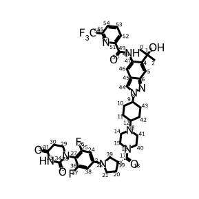 CC(C)(O)c1cc2nn(C3CCC(N4CCN(C(=O)[C@@H]5CCN(c6cc(F)c(N7CCC(=O)NC7=O)c(F)c6)C5)CC4)CC3)cc2cc1NC(=O)c1cccc(C(F)(F)F)n1